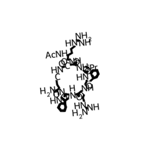 CC(=O)N[C@@H](CCCNC(=N)N)C(=O)N[C@H]1CC(=O)NCCCCC(C(N)=O)NC(=O)[C@H](Cc2c[nH]c3ccccc23)NC(=O)[C@H](CCCNC(=N)N)NC(=O)[C@@H](Cc2ccccc2)NC(=O)[C@@H](CC(C)C)NC1=O